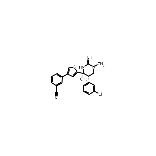 CN1C[C@H](c2cccc(Cl)c2)[C@@](C)(c2cc(-c3cccc(C#N)c3)cs2)NC1=N